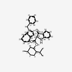 CC1CCC(C(C)C)C(OC(=O)[C@]2(c3cn(Cc4ccccc4)c4ccccc34)Nc3ccccc3C2=O)C1